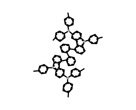 Cc1ccc(N(c2ccc(C)cc2)c2ccc3c(c2)c2c(-c4ccccc4-c4ccccc4-c4cccc5c4c4cc(N(c6ccc(C)cc6)c6ccc(C)cc6)ccc4n5-c4ccc(C)cc4)cccc2n3-c2ccc(C)cc2)cc1